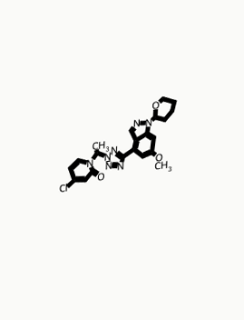 COc1cc(-c2nnn(C(C)n3ccc(Cl)cc3=O)n2)c2cnn(C3CCCCO3)c2c1